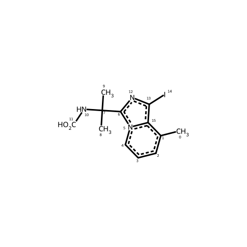 Cc1cccn2c(C(C)(C)NC(=O)O)nc(I)c12